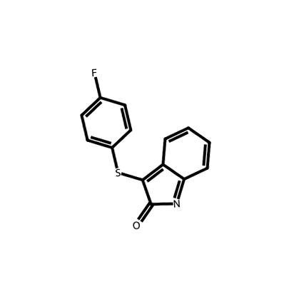 O=C1N=c2ccccc2=C1Sc1ccc(F)cc1